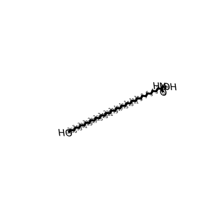 O=C(CCCCCCCCCCCCCCCCCCCCCCCCCCCCCCCCCCCO)NO